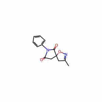 CC1=NOC2(CC(=O)N(c3ccccc3)C2=O)C1